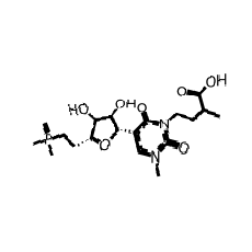 C=P(C)(C)CC[C@H]1O[C@@H](c2cn(C)c(=O)n(CCC(C)C(=O)O)c2=O)[C@H](O)[C@@H]1O